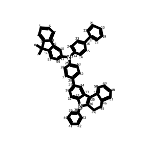 CC1(C)c2ccccc2-c2cc(N(c3ccc(-c4ccccc4)cc3)c3ccc(-c4ccc5c(c4)c4c(n5-c5ccccc5)CCc5ccccc5-4)cc3)ccc21